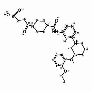 CCOc1ccccc1O[C@@H]1CCCN(c2cncc(NC(=O)C3CCN(C(=O)CCC(=O)O)CC3)n2)C1